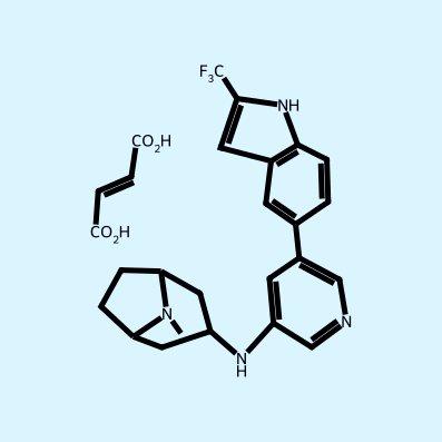 CN1C2CCC1CC(Nc1cncc(-c3ccc4[nH]c(C(F)(F)F)cc4c3)c1)C2.O=C(O)/C=C/C(=O)O